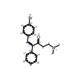 CN(C)CCC(=O)/C(=C\c1ccc(Br)cc1)c1ccccc1